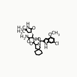 COc1cc(Cl)cc2[nH]c(C(=O)N3CC4(CCCCC4)CC3C(=O)NC(C[C@@H]3CC(C)(C)NC3=O)C(N)=O)cc12